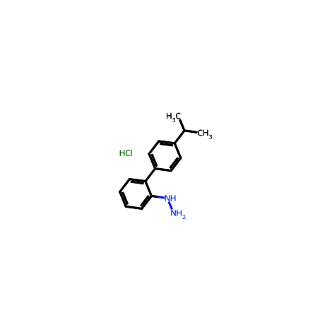 CC(C)c1ccc(-c2ccccc2NN)cc1.Cl